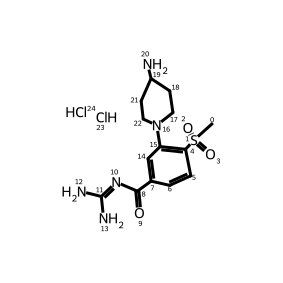 CS(=O)(=O)c1ccc(C(=O)N=C(N)N)cc1N1CCC(N)CC1.Cl.Cl